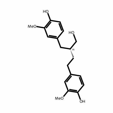 COc1cc(CC[C@@H](CO)Cc2ccc(O)c(OC)c2)ccc1O